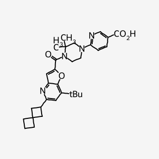 CC(C)(C)c1cc(C2CC3(CCC3)C2)nc2cc(C(=O)N3CCN(c4ccc(C(=O)O)cn4)CC3(C)C)oc12